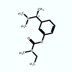 CCN(C)C(=O)OC1=CC([C@H](C)N(C)C)CC=C1